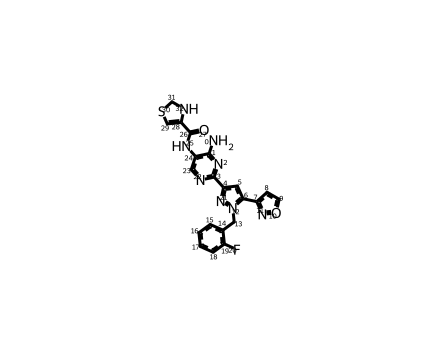 Nc1nc(-c2cc(-c3ccon3)n(Cc3ccccc3F)n2)ncc1NC(=O)C1=CSCN1